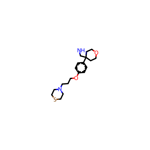 NCC1(c2ccc(OCCCN3CCSCC3)cc2)CCOCC1